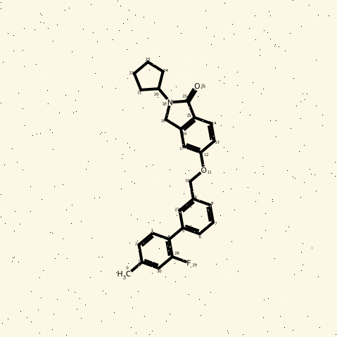 Cc1ccc(-c2cccc(COc3ccc4c(c3)CN(C3CCCC3)C4=O)c2)c(F)c1